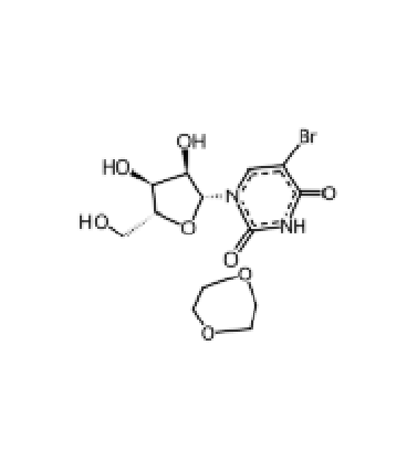 C1COCCO1.O=c1[nH]c(=O)n([C@@H]2O[C@H](CO)[C@@H](O)[C@H]2O)cc1Br